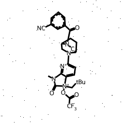 CN1C(=O)[N+](CC(C)(C)C)(OC(=O)C(F)(F)F)C2=CC=C(N3CC4CCC3CN4C(=O)c3cccc(C#N)c3)[N+]=C21